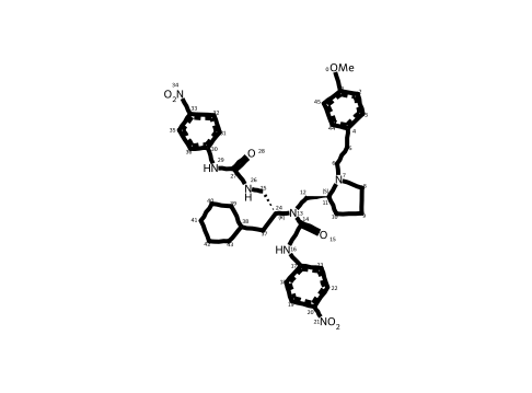 COc1ccc(CCN2CCC[C@H]2CN(C(=O)Nc2ccc([N+](=O)[O-])cc2)[C@@H](CNC(=O)Nc2ccc([N+](=O)[O-])cc2)CC2CCCCC2)cc1